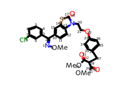 CO/N=C(/c1cccc(Cl)c1)c1ccc2c(c1)sc(=O)n2CCOc1ccc(CC(C(=O)OC)C(=O)OC)cc1